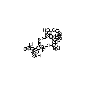 Cl.O=C(O)c1cccc(S(=O)(=O)N2CCS[C@H]2C(=O)O[C@@H](Cc2c(Cl)c[n+]([O-])cc2Cl)c2ccc(OC(F)F)c(OCC3CC3)c2)c1.O=C(O[C@@H](Cc1c(Cl)c[n+]([O-])cc1Cl)c1ccc(OC(F)F)c(OCC2CC2)c1)[C@H]1NCCS1